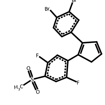 CS(=O)(=O)c1cc(F)c(C2=C(c3ccc(Br)c(Br)c3)C=CC2)cc1F